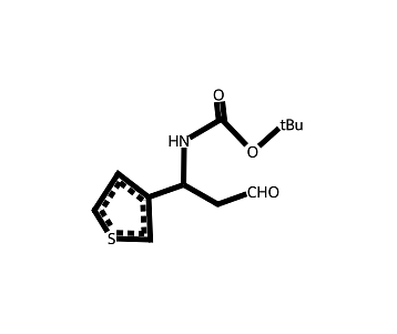 CC(C)(C)OC(=O)NC(CC=O)c1ccsc1